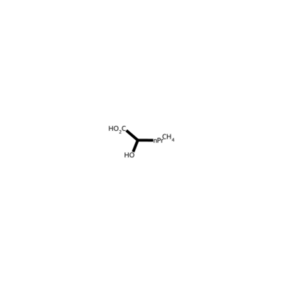 C.CCCC(O)C(=O)O